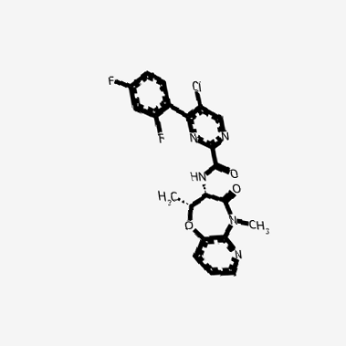 C[C@H]1Oc2cccnc2N(C)C(=O)[C@H]1NC(=O)c1ncc(Cl)c(-c2ccc(F)cc2F)n1